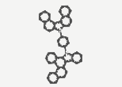 c1ccc2c(c1)ccc1c2c2ccccc2c2c1c1ccccc1n2-c1ccc(-n2c3ccc4ccccc4c3c3c4ccccc4ccc32)cc1